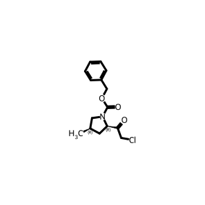 C[C@@H]1C[C@H](C(=O)CCl)N(C(=O)OCc2ccccc2)C1